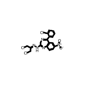 O=[N+]([O-])c1ccc2c(c1)C(c1ccccc1Cl)=NCC(NN=C(CCl)CCl)=N2